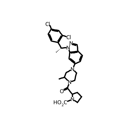 CC1CN(c2ccc3cnn([C@H](C)c4ccc(Cl)cc4Cl)c3c2)CCN1C(=O)C1CCCN1C(=O)O